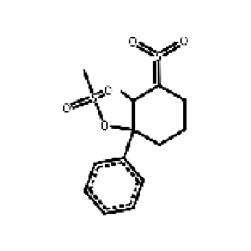 CC1C(=S(=O)=O)CCCC1(OS(C)(=O)=O)c1ccccc1